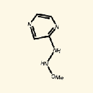 CONNc1cnccn1